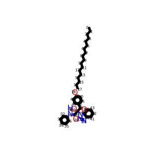 CCCCCCCCCCCCCCCCCCOc1ccc(C(=O)C(OC)(C(=O)Nc2ccccc2)n2nnc3ccccc32)cc1